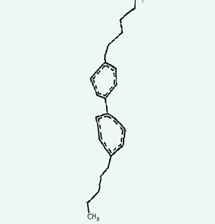 CCCCCc1ccc(-c2ccc(CCCCC)cc2)cc1